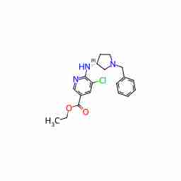 CCOC(=O)c1cnc(N[C@@H]2CCN(Cc3ccccc3)C2)c(Cl)c1